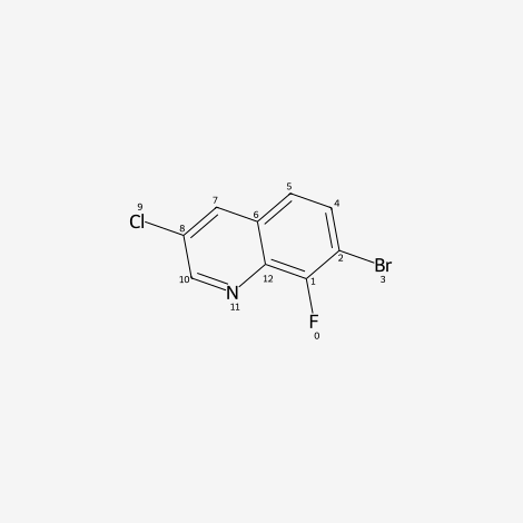 Fc1c(Br)ccc2cc(Cl)cnc12